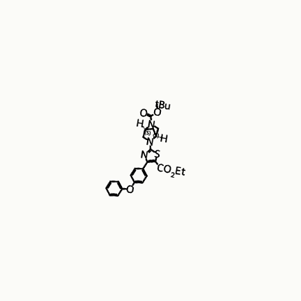 CCOC(=O)c1sc(N2C[C@@H]3C[C@H]2CN3C(=O)OC(C)(C)C)nc1-c1ccc(Oc2ccccc2)cc1